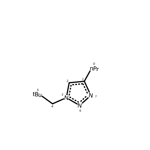 CCCc1cn(CC(C)(C)C)nn1